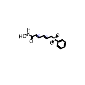 O=C(/C=C/C=C/CS(=O)(=O)c1ccccc1)NO